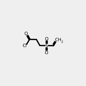 C=CS(=O)(=O)CCC(=O)Cl